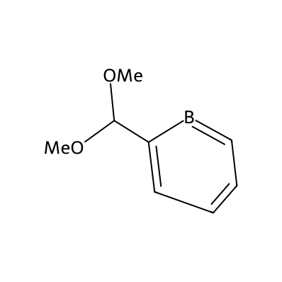 COC(OC)c1bcccc1